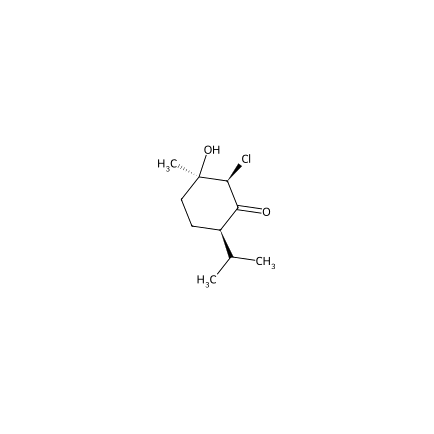 CC(C)[C@H]1CC[C@@](C)(O)[C@@H](Cl)C1=O